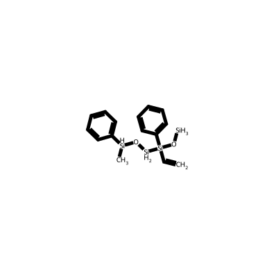 C=C[Si](O[SiH3])([SiH2]O[SiH](C)c1ccccc1)c1ccccc1